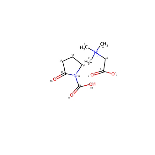 C[N+](C)(C)CC(=O)[O-].O=C(O)N1CCCC1=O